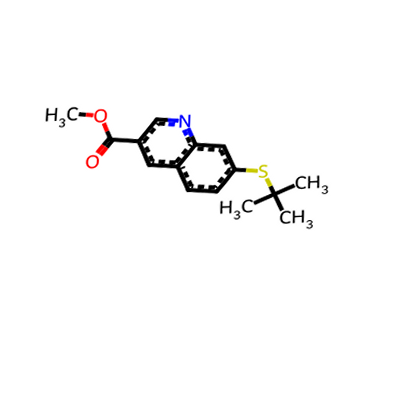 COC(=O)c1cnc2cc(SC(C)(C)C)ccc2c1